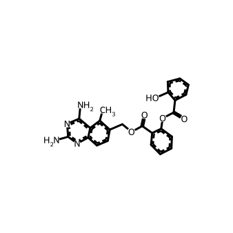 Cc1c(COC(=O)c2ccccc2OC(=O)c2ccccc2O)ccc2nc(N)nc(N)c12